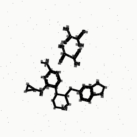 CNc1ncc(C2CCNCC2Cc2ccc3c(c2)OCO3)c(NC2CC2)n1.O=C(O)C(=O)O.O=C(O)C(=O)O